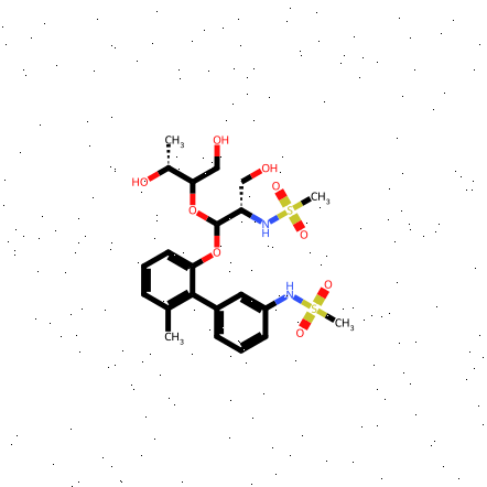 Cc1cccc(OC(OC(CO)[C@@H](C)O)[C@H](CO)NS(C)(=O)=O)c1-c1cccc(NS(C)(=O)=O)c1